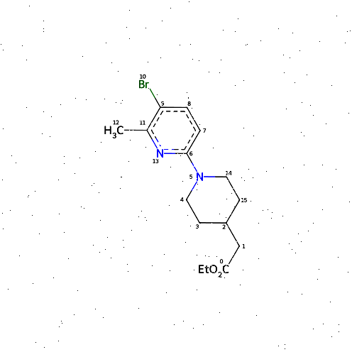 CCOC(=O)CC1CCN(c2ccc(Br)c(C)n2)CC1